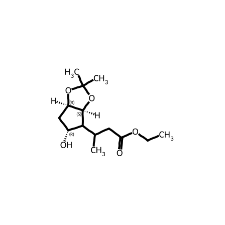 CCOC(=O)CC(C)C1[C@H](O)C[C@H]2OC(C)(C)O[C@@H]12